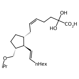 CCCCCC/C=C/[C@@H]1[C@@H](C/C=C\CCC(O)(O)C(=O)O)CC[C@H]1COC(C)C